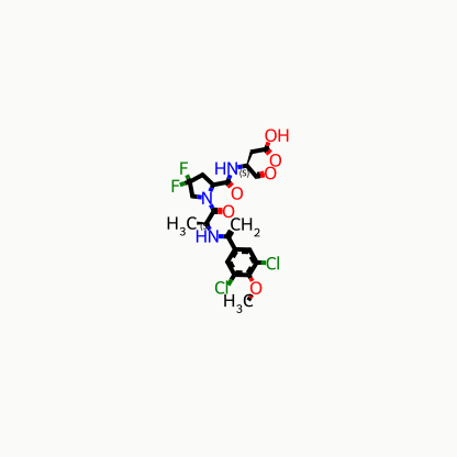 C=C(N[C@@H](C)C(=O)N1CC(F)(F)CC1C(=O)N[C@H](C=O)CC(=O)O)c1cc(Cl)c(OC)c(Cl)c1